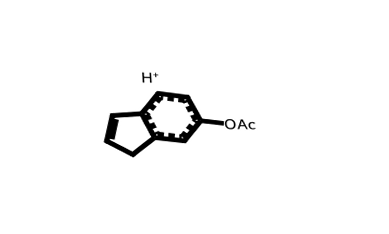 CC(=O)Oc1ccc2c(c1)CC=C2.[H+]